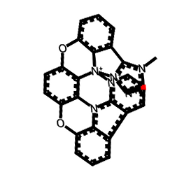 Cn1c2[n+](c3cncnc31)[N+]13c4c(cccc4-2)Oc2ccc4c(c21)-n1c2c(cccc2c2ccc[n+]3c21)O4